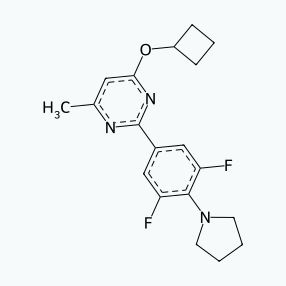 Cc1cc(OC2CCC2)nc(-c2cc(F)c(N3CCCC3)c(F)c2)n1